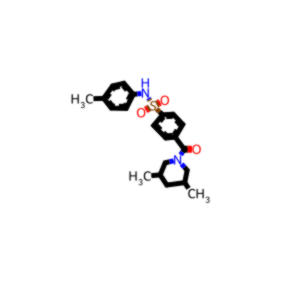 Cc1ccc(NS(=O)(=O)c2ccc(C(=O)N3CC(C)CC(C)C3)cc2)cc1